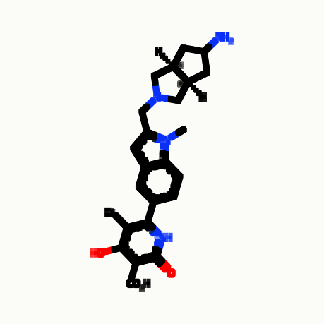 CCc1c(-c2ccc3c(c2)cc(CN2C[C@H]4CC(N)C[C@H]4C2)n3C)[nH]c(=O)c(C(=O)O)c1O